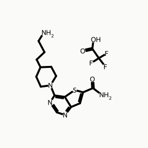 NCCCC1CCN(c2ncnc3cc(C(N)=O)sc23)CC1.O=C(O)C(F)(F)F